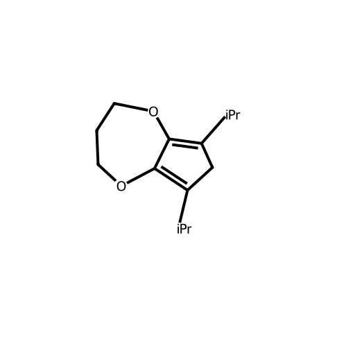 CC(C)C1=C2OCCCOC2=C(C(C)C)C1